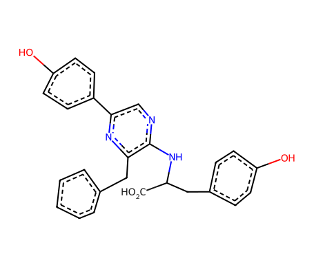 O=C(O)C(Cc1ccc(O)cc1)Nc1ncc(-c2ccc(O)cc2)nc1Cc1ccccc1